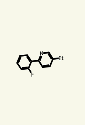 CCc1ccc(-c2ccccc2F)nc1